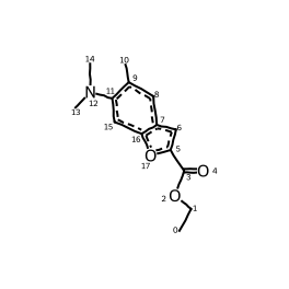 CCOC(=O)c1cc2cc(C)c(N(C)C)cc2o1